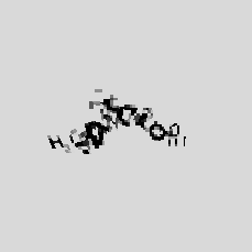 COc1ccc(Cn2nc(C(F)(F)F)c3c2CN(C(=O)C[C@H]2CC[C@H](C(=O)O)CC2)CC3)cc1